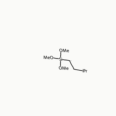 CO[Si]([CH]CC(C)C)(OC)OC